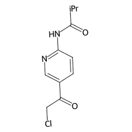 CC(C)C(=O)Nc1ccc(C(=O)CCl)cn1